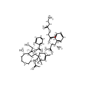 CC(=O)O[C@@H]1COCC[C@H](O)[C@@](C)(C(=O)[C@@H](C)O)[C@@H]1[C@H](OC(=O)c1ccccc1)[C@]1(O)C[C@H](OC(=O)[C@H](OC(=O)COC(=O)CCN)[C@@H](N)c2ccccc2)C(C)=CC1(C)C